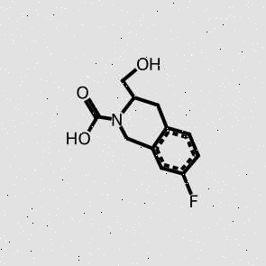 O=C(O)N1Cc2cc(F)ccc2CC1CO